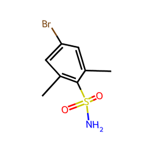 Cc1cc(Br)cc(C)c1S(N)(=O)=O